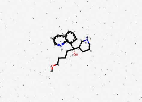 COCCCC[C@@](O)(c1cccc2cccnc12)C1CCCNC1